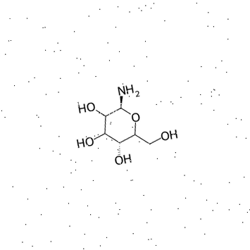 N[C@H]1OC(CO)[C@H](O)C(O)C1O